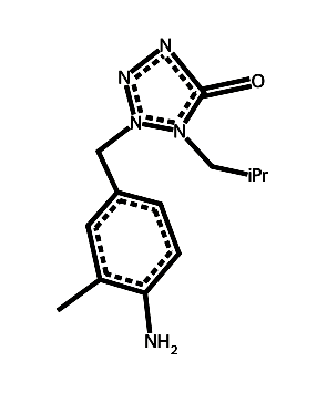 Cc1cc(Cn2nnc(=O)n2CC(C)C)ccc1N